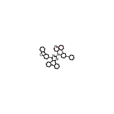 c1ccc(-c2ccc(N(c3ccncc3)c3nc(-c4ccc5oc6ccccc6c5c4)c4c5ccccc5c5ccccc5c4n3)c(-c3ccccc3)c2)cc1